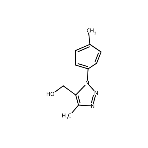 Cc1ccc(-n2nnc(C)c2CO)cc1